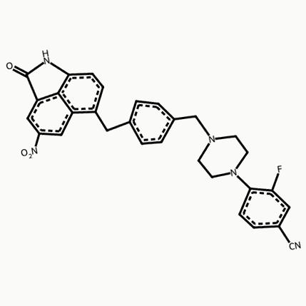 N#Cc1ccc(N2CCN(Cc3ccc(Cc4ccc5c6c(cc([N+](=O)[O-])cc46)C(=O)N5)cc3)CC2)c(F)c1